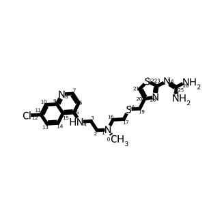 CN(CCNc1ccnc2cc(Cl)ccc12)CCSCc1csc(N=C(N)N)n1